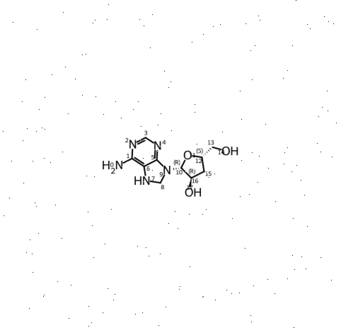 Nc1ncnc2c1NCN2[C@@H]1O[C@H](CO)C[C@H]1O